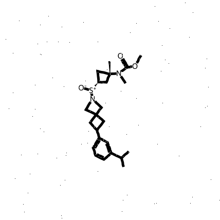 COC(=O)N(C)[C@]1(C)C[C@H]([S+]([O-])N2CC3(CC(c4cccc(C(C)C)c4)C3)C2)C1